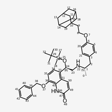 C[C@@H](Cc1ccc(OCCC23CC4CC(CC(C4)C2)C3)cc1)NC[C@H](O[Si](C)(C)C(C)(C)C)c1ccc(OCc2ccccc2)c2[nH]c(=O)ccc12